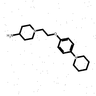 NC1CCN(CCOc2ccc(N3CCCCC3)cc2)CC1